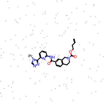 C=CCCOC(=O)N1CCc2ccc(C(=O)Nc3cccc(-c4nncn4C(C)C)n3)cc2C1